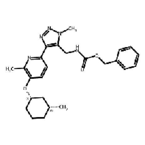 Cc1nc(-c2nnn(C)c2CNC(=O)OCc2ccccc2)ccc1O[C@H]1CCC[C@@H](C)C1